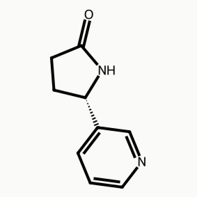 O=C1CC[C@@H](c2cccnc2)N1